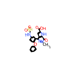 Cn1nc(-c2cc(NC[SH](=O)=O)ccc2Oc2ccccc2)c2cc(C(=O)O)[nH]c2c1=O